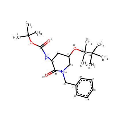 CC(C)(C)OC(=O)NC1CC(O[Si](C)(C)C(C)(C)C)CN(Cc2ccccc2)C1=O